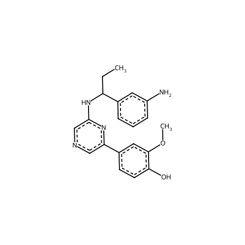 CCC(Nc1cncc(-c2ccc(O)c(OC)c2)n1)c1cccc(N)c1